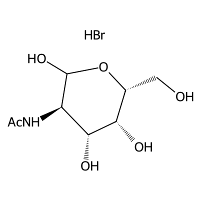 Br.CC(=O)N[C@H]1C(O)O[C@H](CO)[C@H](O)[C@@H]1O